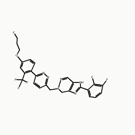 FCCCOc1ccc(-c2ccc(CN3Cc4nc(-c5cccc(F)c5F)[nH]c4C=N3)nn2)c(C(F)(F)F)c1